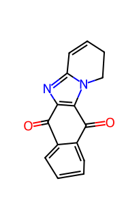 O=C1c2ccccc2C(=O)c2c1nc1n2CCC=C1